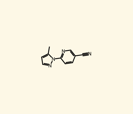 Cc1ccnn1-c1ccc(C#N)cn1